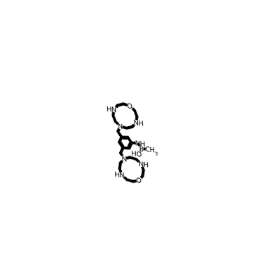 CB(O)Nc1cc(CN2CCNCCOCCNCC2)cc(CN2CCNCCOCCNCC2)c1